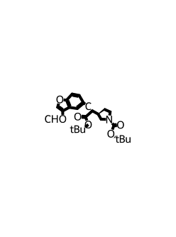 CC(C)(C)OC(=O)[C@@H](Cc1ccc2occ(C=O)c2c1)[C@H]1CCN(C(=O)OC(C)(C)C)C1